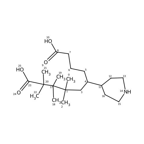 CC(C)(CC(CCCC(=O)O)C1CCNCC1)C(C)(C)C(C)(C)C(=O)O